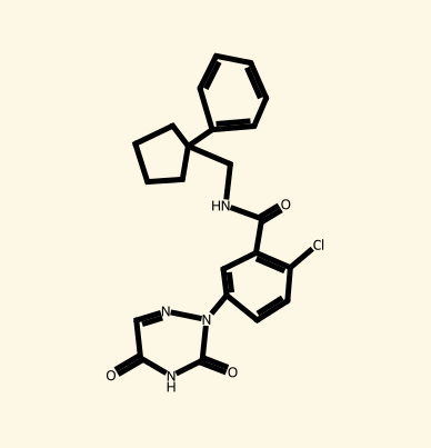 O=C(NCC1(c2ccccc2)CCCC1)c1cc(-n2ncc(=O)[nH]c2=O)ccc1Cl